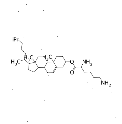 CC(C)CCCC(C)C1CCC2C3CC=C4CC(OC(=O)C(N)CCCCN)CCC4(C)C3CCC12C